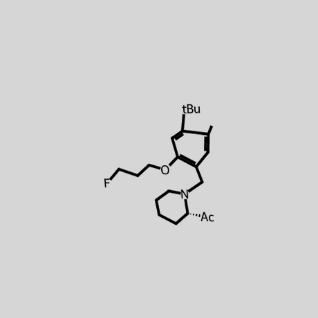 CC(=O)[C@@H]1CCCCN1Cc1cc(C)c(C(C)(C)C)cc1OCCCF